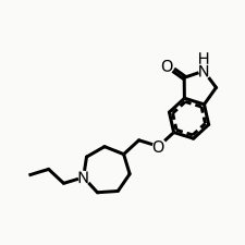 CCCN1CCCC(COc2ccc3c(c2)C(=O)NC3)CC1